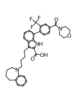 O=C(O)c1[nH]c2c(-c3ccc(C(=O)N4CCOCC4)cc3C(F)(F)F)cccc2c1CCCCN1CCCCc2ccccc21